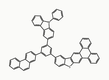 c1ccc(-n2c3ccccc3c3cc(-c4cc(-c5ccc6c(ccc7ccccc76)c5)cc(-c5ccc6sc7cc8c9ccccc9c9ccccc9c8cc7c6c5)c4)ccc32)cc1